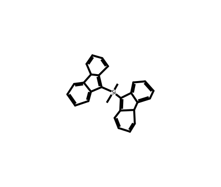 C[Si](C)(C1=C2C=CC=CC2c2ccccc21)C1=C2C=CC=CC2c2ccccc21